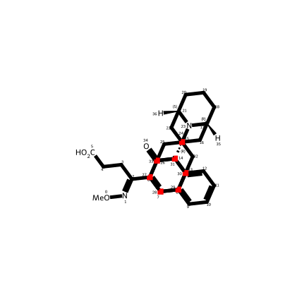 CON=C(CCC(=O)O)c1nc2ccccc2n([C@H]2C[C@H]3CCC[C@@H](C2)N3C2CC3CCCC(C3)C2)c1=O